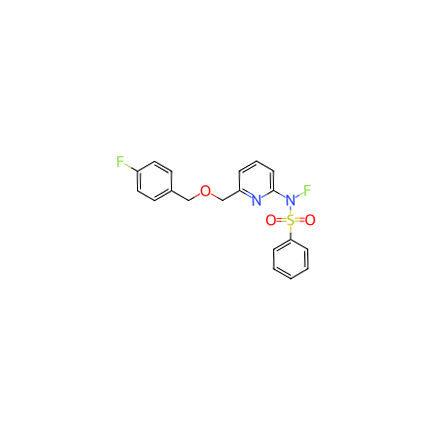 O=S(=O)(c1ccccc1)N(F)c1cccc(COCc2ccc(F)cc2)n1